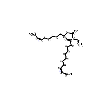 C=CP(C(=O)CCCCCCC/C=C\CCCCCCCC)C(=O)CCCCCCC/C=C\CCCCCCCC